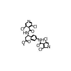 COC(=O)CC(NC(=O)c1c(Cl)cncc1Cl)c1ccc(NC(=O)c2c(Cl)cncc2Cl)cc1